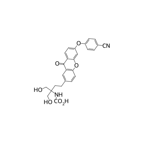 N#Cc1ccc(Oc2ccc3c(=O)c4cc(CCC(CO)(CO)NC(=O)O)ccc4oc3c2)cc1